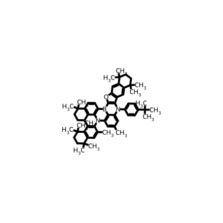 Cc1cc2c3c(c1)N(c1ccc(C(C)(C)C)cc1)c1c(oc4cc5c(cc14)C(C)(C)CCC5(C)C)B3c1ccc3c4c1N2c1c(C)cc2c(c1C4(C)CCC3(C)C)C(C)(C)CCC2(C)C